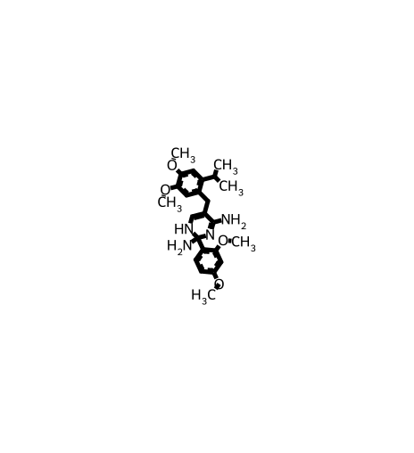 COc1ccc(C2(N)N=C(N)C(Cc3cc(OC)c(OC)cc3C(C)C)=CN2)c(OC)c1